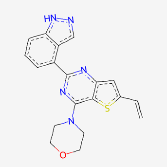 C=Cc1cc2nc(-c3cccc4[nH]ncc34)nc(N3CCOCC3)c2s1